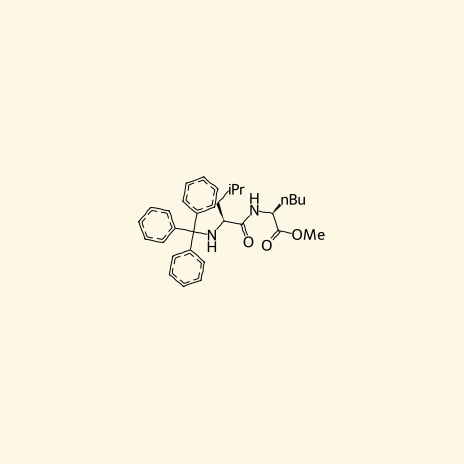 CCCC[C@H](NC(=O)[C@H](CC(C)C)NC(c1ccccc1)(c1ccccc1)c1ccccc1)C(=O)OC